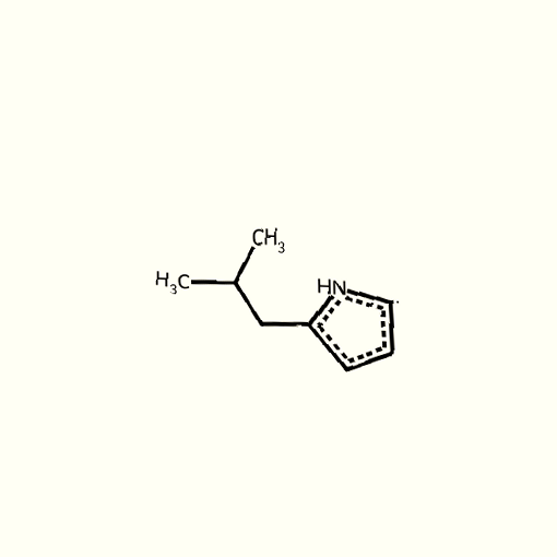 CC(C)Cc1cc[c][nH]1